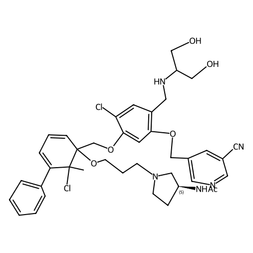 CC(=O)N[C@H]1CCN(CCCOC2(COc3cc(OCc4cncc(C#N)c4)c(CNC(CO)CO)cc3Cl)C=CC=C(c3ccccc3)C2(C)Cl)C1